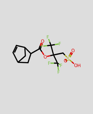 O=C(OC(CS(=O)(=O)O)(C(F)(F)F)C(F)(F)F)C1CC2C=CC1C2